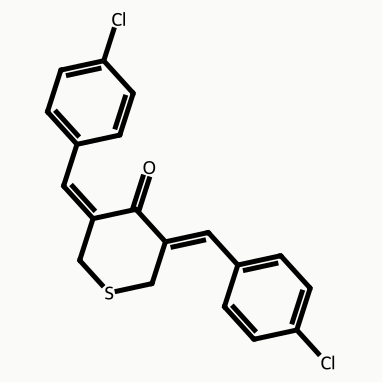 O=C1/C(=C/c2ccc(Cl)cc2)CSC/C1=C/c1ccc(Cl)cc1